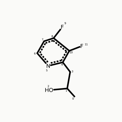 CC(O)Cc1nccc(F)c1F